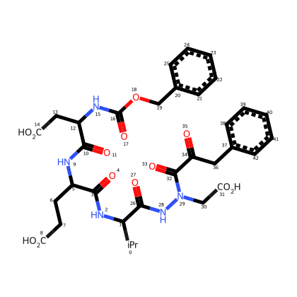 CC(C)C(NC(=O)C(CCC(=O)O)NC(=O)C(CC(=O)O)NC(=O)OCc1ccccc1)C(=O)NN(CC(=O)O)C(=O)C(=O)Cc1ccccc1